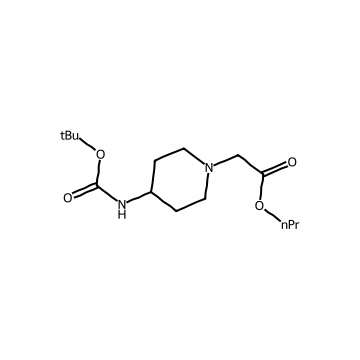 CCCOC(=O)CN1CCC(NC(=O)OC(C)(C)C)CC1